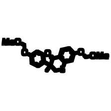 COCOc1ccc(C2(C)CSc3cc(OCOC)ccc3C2=O)cc1